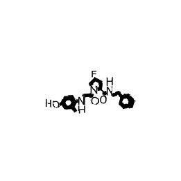 Cc1cc(O)ccc1NCC(=O)N1C[C@H](F)C[C@H]1C(=O)NCCc1ccccc1